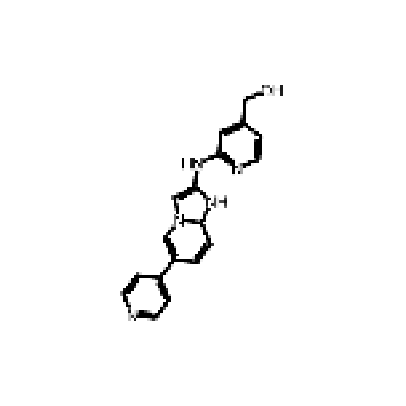 OCc1ccnc(NC2=CN3C=C(c4ccncc4)C=CC3N2)c1